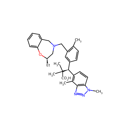 CC[C@@H]1CN(Cc2cc([C@@H](c3ccc4c(nnn4C)c3C)C(C)(C)C(=O)O)ccc2C)Cc2ccccc2O1